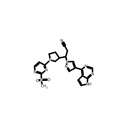 CS(=O)(=O)c1nccc(N2CCC(C(CC#N)n3cc(-c4ncnc5[nH]ccc45)cn3)C2)n1